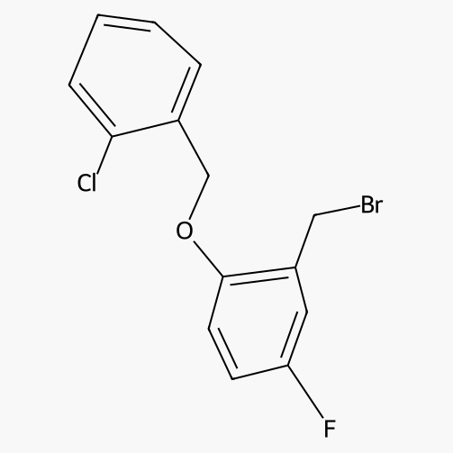 Fc1ccc(OCc2ccccc2Cl)c(CBr)c1